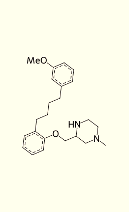 COc1cccc(CCCCc2ccccc2OCC2CN(C)CCN2)c1